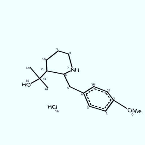 COc1ccc(CC2NCCCC2C(C)(C)O)cc1.Cl